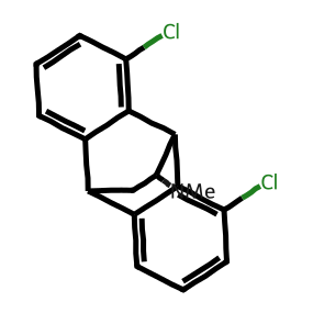 CNC1CC2c3cccc(Cl)c3C1c1c(Cl)cccc12